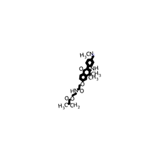 C=C(C)C(=O)OCCNC(=O)COc1ccc2c(c1)C(C)(C)c1[nH]c3cc(/C=N\C)ccc3c1C2=O